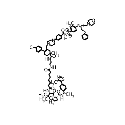 Cc1cc(S(=O)(=O)NC(=O)c2ccc(N3CCN(CC4=C(c5ccc(Cl)cc5)CCC(C)(C(=O)NCCNC(=O)CCCCCCC(=O)N[C@H](C(=O)N5CCC[C@H]5C(=O)N[C@@H](C)c5ccc(-c6scnc6C)cc5)C(C)(C)C)C4)CC3)cc2)ccc1N[C@H](CCN1CCOCC1)CSc1ccccc1